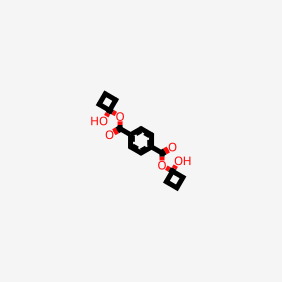 O=C(OC1(O)CCC1)c1ccc(C(=O)OC2(O)CCC2)cc1